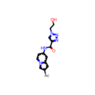 CC(=O)c1cc2cc(NC(=O)c3cn(CCO)nn3)ccn2c1